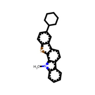 Cn1c2ccccc2c2ccc3c4cc(C5CCCCC5)ccc4sc3c21